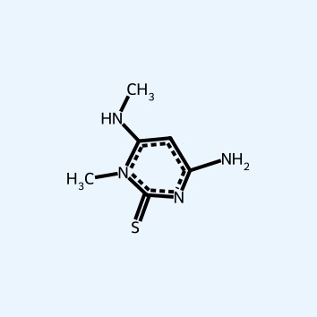 CNc1cc(N)nc(=S)n1C